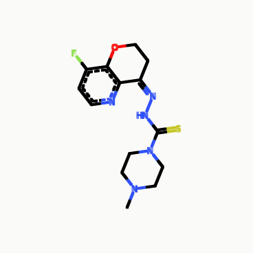 CN1CCN(C(=S)N/N=C2/CCOc3c(F)ccnc32)CC1